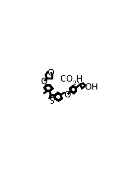 Cc1cc(OC2CCOCC2)ccc1-c1csc2ccc(COc3ccc([C@]4(CC(=O)O)C[C@@H](O)C4)cc3)cc12